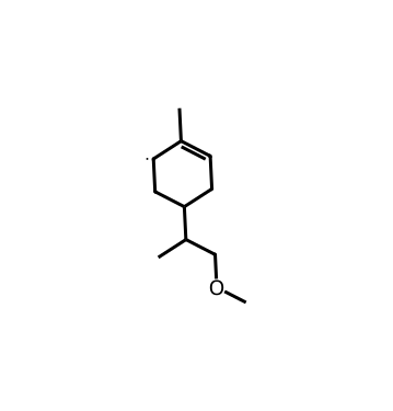 COCC(C)C1C[CH]C(C)=CC1